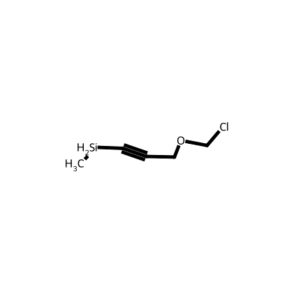 C[SiH2]C#CCOCCl